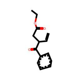 C=CC(CC(=O)OCC)C(=O)c1ccccc1